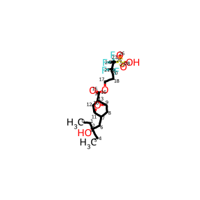 CCC(O)(CC)CC1CC2OC1CC2C(=O)OCCC(F)(F)C(F)(F)S(=O)(=O)O